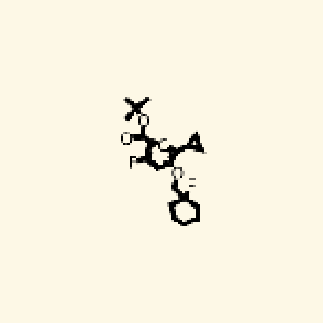 CC(C)(C)OC(=O)c1cc(C2CC2)c(OCC2(F)CCCCC2)cc1F